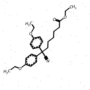 CCOC(=O)CCCCCC(C#N)(c1ccc(OCC)cc1)c1ccc(OCC)cc1